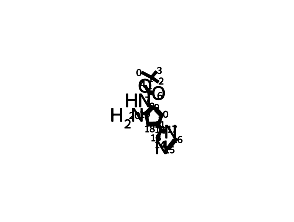 CC(C)(C)OC(=O)Nc1ccc(-c2cnccn2)cc1N